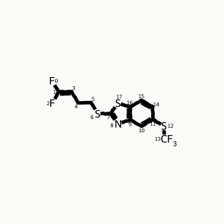 FC(F)=CCCSc1nc2cc(SC(F)(F)F)ccc2s1